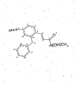 CSc1ccc(C=CC(=O)N(C)O)c(Cc2ccccc2)c1